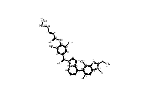 Cc1cc2c(nc(CC#N)n2C)c(Cl)c1-c1cccn2c(C(=O)c3cc(F)c(NC(=O)/C=C/CNC(C)(C)C)c(F)c3)ccc12